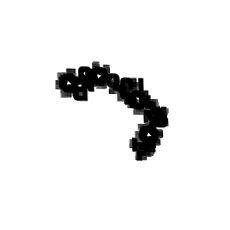 O[C@@H](COc1ccc2oc(-c3ccccc3Cl)nc2c1)CN1CCN(Cc2noc(-c3ccc(C(F)(F)F)cc3)n2)CC1